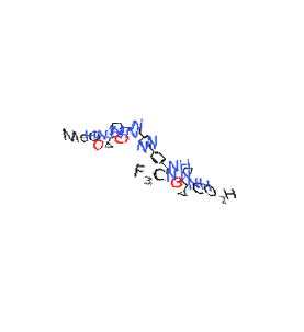 COC(=O)N[C@@H](C(=O)N1CCC[C@H]1c1ncc(-c2cnc(-c3ccc(-c4[nH]c([C@@H]5CCCN5C(=O)[C@@H](NC(=O)O)C5CC5)nc4C(F)(F)F)cc3)nc2)[nH]1)C1CC1